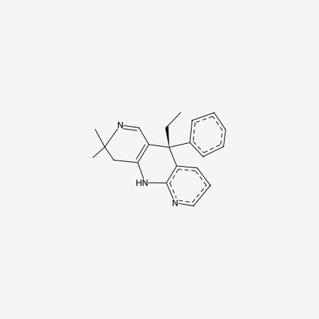 CC[C@]1(c2ccccc2)C2=C(CC(C)(C)N=C2)Nc2ncccc21